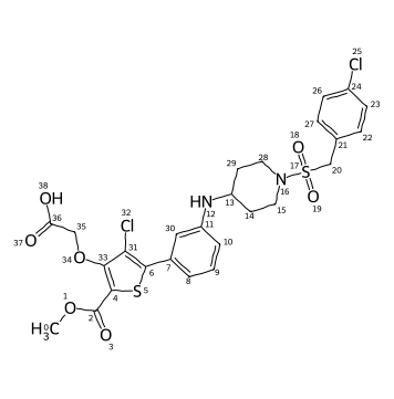 COC(=O)c1sc(-c2cccc(NC3CCN(S(=O)(=O)Cc4ccc(Cl)cc4)CC3)c2)c(Cl)c1OCC(=O)O